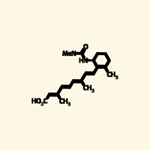 CNC(=O)N[C@H]1CCCC(C)=C1/C=C/C(C)=C/C=C/C(C)=C/C(=O)O